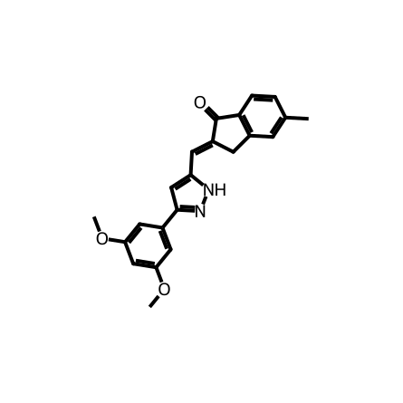 COc1cc(OC)cc(-c2cc(/C=C3\Cc4cc(C)ccc4C3=O)[nH]n2)c1